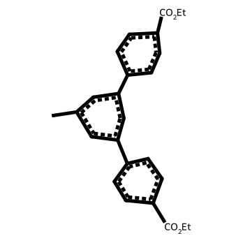 CCOC(=O)c1ccc(-c2cc(C)cc(-c3ccc(C(=O)OCC)cc3)c2)cc1